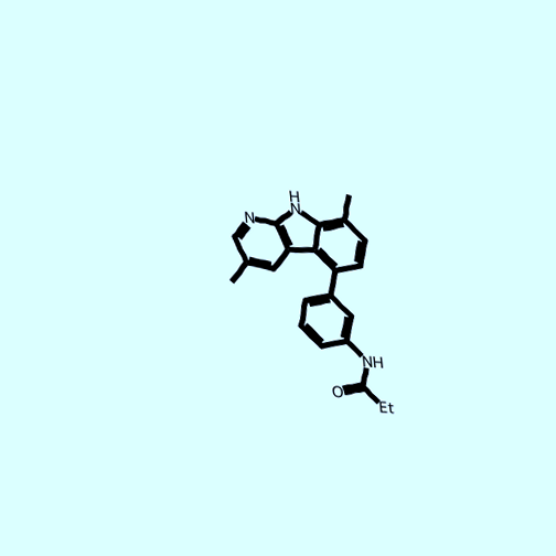 CCC(=O)Nc1cccc(-c2ccc(C)c3[nH]c4ncc(C)cc4c23)c1